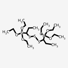 CCO[Si](OCC)(OCC)C(CC)SSSC(CC)[Si](OCC)(OCC)OCC